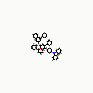 c1ccc(-c2cc(N(c3cc(-c4ccccc4)c4ccccc4c3)c3ccccc3-c3ccccc3)ccc2-c2ccc(-n3c4ccccc4c4ccccc43)cc2)cc1